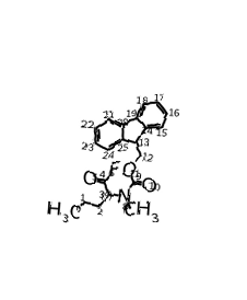 CCC[C@@H](C(=O)F)N(C)C(=O)OCC1c2ccccc2-c2ccccc21